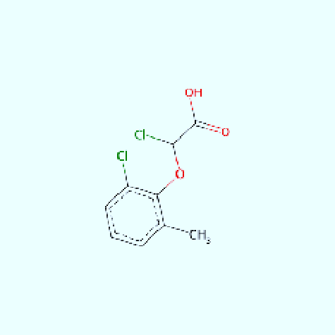 Cc1cccc(Cl)c1OC(Cl)C(=O)O